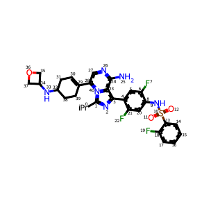 CC(C)c1nc(-c2cc(F)c(NS(=O)(=O)c3ccccc3F)cc2F)c2c(N)ncc(C3=CCC(NC4COC4)CC3)n12